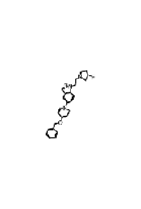 F[C@@H]1CCN(CCn2ncc3cc(N4C=CC(OCc5ccccc5)=CC4)ccc32)C1